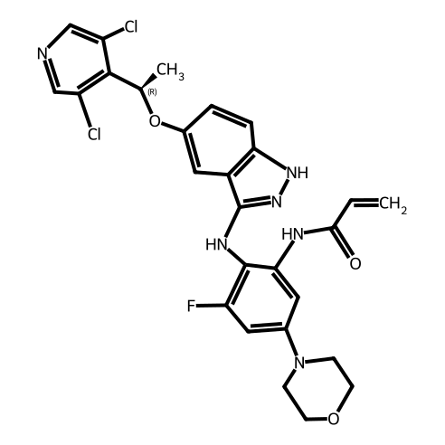 C=CC(=O)Nc1cc(N2CCOCC2)cc(F)c1Nc1n[nH]c2ccc(O[C@H](C)c3c(Cl)cncc3Cl)cc12